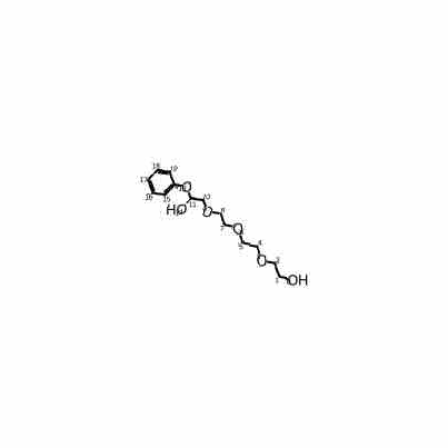 OCCOCCOCCOCC(O)Oc1ccccc1